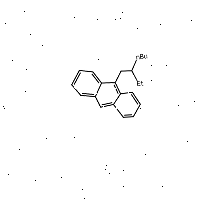 CCCCC(CC)Cc1c2ccccc2cc2ccccc12